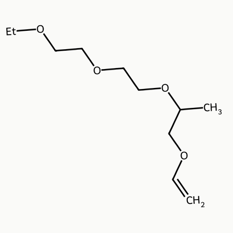 [CH2]COCCOCCOC(C)COC=C